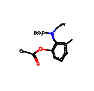 CCCN(C(=O)OCC)c1c(C)cccc1OC(=O)CC